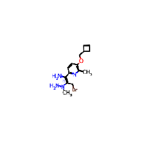 Cc1nc(/C(N)=C(\CBr)N(C)N)ccc1OCC1CCC1